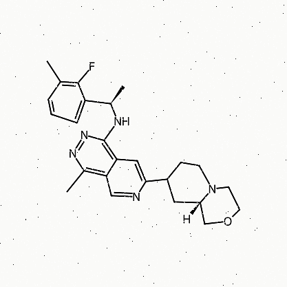 Cc1cccc([C@@H](C)Nc2nnc(C)c3cnc(C4CCN5CCOC[C@@H]5C4)cc23)c1F